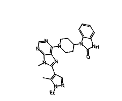 CCn1ncc(-c2nc3c(N4CCC(n5c(=O)[nH]c6ccccc65)CC4)ncnc3n2C)c1C